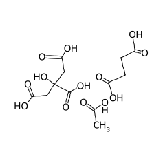 CC(=O)O.O=C(O)CC(O)(CC(=O)O)C(=O)O.O=C(O)CCC(=O)O